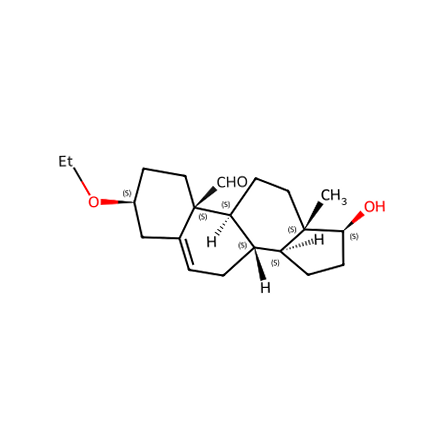 CCO[C@H]1CC[C@@]2(C=O)C(=CC[C@H]3[C@@H]4CC[C@H](O)[C@@]4(C)CC[C@@H]32)C1